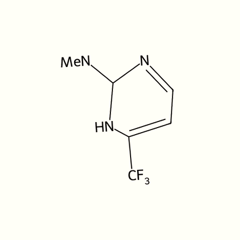 CNC1N=CC=C(C(F)(F)F)N1